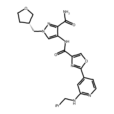 CC(C)CNc1cc(-c2nc(C(=O)Nc3cn(C[C@@H]4CCOC4)nc3C(N)=O)co2)ccn1